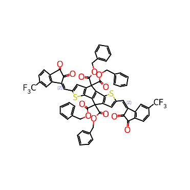 O=C1C(=O)c2ccc(C(F)(F)F)cc2/C1=C/c1cc2c(s1)C1=C(c3sc(/C=C4\C(=O)C(=O)c5ccc(C(F)(F)F)cc54)cc3C1(C(=O)OCc1ccccc1)C(=O)OCc1ccccc1)C2(C(=O)OCc1ccccc1)C(=O)OCc1ccccc1